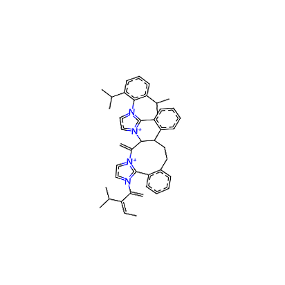 C=C(/C(=C\C)C(C)C)n1cc[n+]2c1-c1ccccc1CCC1c3ccccc3-c3n(-c4c(C(C)C)cccc4C(C)C)cc[n+]3C1C2=C